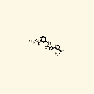 CSNc1cccc(NC(=O)c2cc(-c3cc(C(N)=O)ccn3)cs2)c1